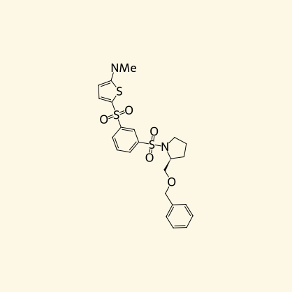 CNc1ccc(S(=O)(=O)c2cccc(S(=O)(=O)N3CCC[C@H]3COCc3ccccc3)c2)s1